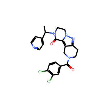 CC(c1ccncc1)N1CCn2nc3c(c2C1=O)CN(C(=O)c1ccc(Cl)c(Cl)c1)CC3